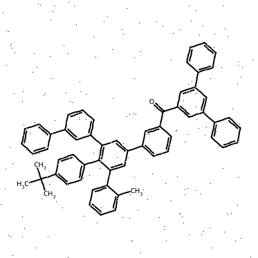 Cc1ccccc1-c1cc(-c2cccc(C(=O)c3cc(-c4ccccc4)cc(-c4ccccc4)c3)c2)cc(-c2cccc(-c3ccccc3)c2)c1-c1ccc(C(C)(C)C)cc1